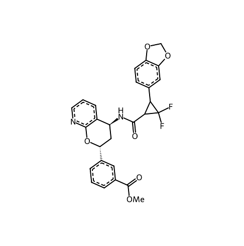 COC(=O)c1cccc([C@H]2C[C@H](NC(=O)C3C(c4ccc5c(c4)OCO5)C3(F)F)c3cccnc3O2)c1